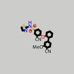 COc1cc(-c2ccccc2Oc2ccc(S(=O)(=O)Nc3nccs3)cc2C#N)ccc1C#N